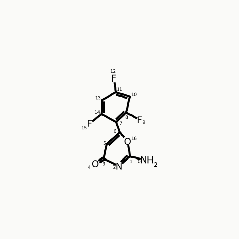 Nc1nc(=O)cc(-c2c(F)cc(F)cc2F)o1